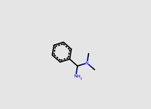 CN(C)C(N)c1cc[c]cc1